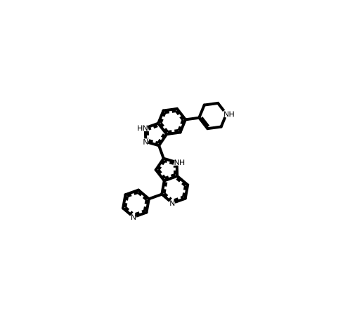 C1=C(c2ccc3[nH]nc(-c4cc5c(-c6cccnc6)nccc5[nH]4)c3c2)CCNC1